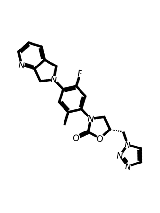 Cc1cc(N2Cc3cccnc3C2)c(F)cc1N1C[C@H](Cn2ccnn2)OC1=O